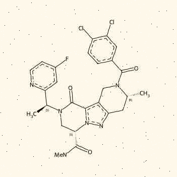 CNC(=O)[C@@H]1CN([C@@H](C)c2cc(F)ccn2)C(=O)c2c3c(nn21)C[C@@H](C)N(C(=O)c1ccc(Cl)c(Cl)c1)C3